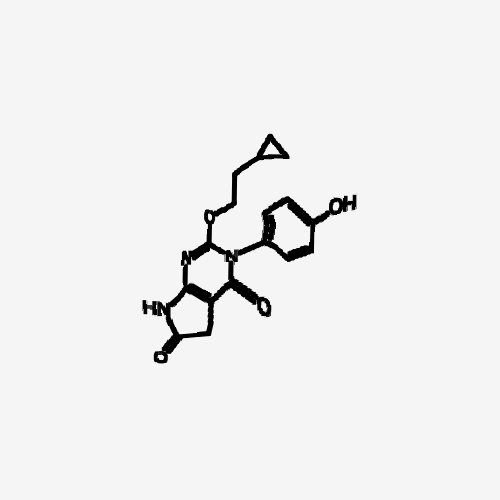 O=C1Cc2c(nc(OCCC3CC3)n(-c3ccc(O)cc3)c2=O)N1